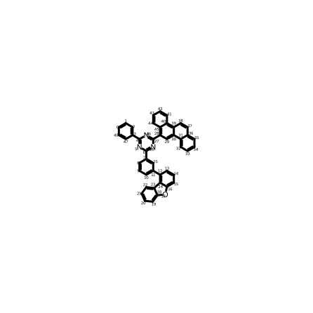 c1ccc(-c2nc(-c3cccc(-c4cccc5oc6ccccc6c45)c3)nc(-c3cc4c5ccccc5ccc4c4ccccc34)n2)cc1